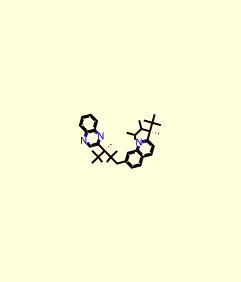 CC(C)C(C)[C@](C)(c1ccc2ccc(CC(C)(C)[C@](C)(c3cnc4ccccc4n3)C(C)(C)C)cc2n1)C(C)(C)C